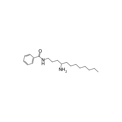 CCCCCCCCC(N)CCCNC(=O)c1ccccc1